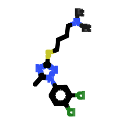 CCN(CC)CCCCSc1nc(C)n(-c2ccc(Cl)c(Cl)c2)n1